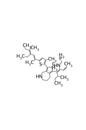 C/C=C\C(NCP)=C(\C1=C2CCCNCC2=C(c2sc(/C(C)=C/C(CC)=C(\C)CC)cc2C)C1C)C(C)CC